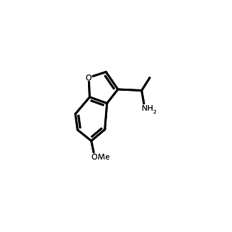 COc1ccc2occ(C(C)N)c2c1